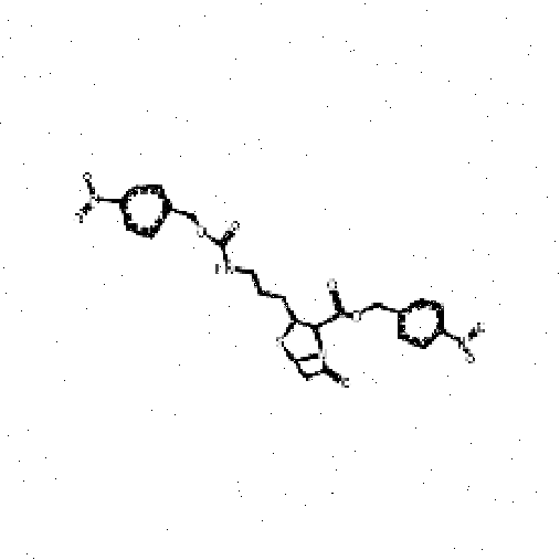 O=C(NCCCC1SC2CC(=O)N2C1C(=O)OCc1ccc([N+](=O)[O-])cc1)OCc1ccc([N+](=O)[O-])cc1